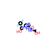 O=C(Nc1cnn2ccc(N3C[C@@H](O)C[C@@H]3c3cc(F)ccc3F)nc12)N[C@@H]1C[C@H]1O